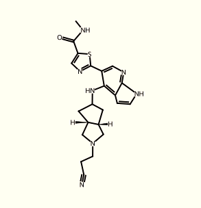 CNC(=O)c1cnc(-c2cnc3[nH]ccc3c2NC2C[C@@H]3CN(CCC#N)C[C@@H]3C2)s1